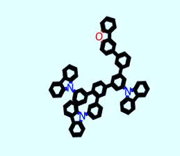 c1cc(-c2cc(-c3ccc(-c4cccc(-n5c6ccccc6c6ccccc65)c4)c(-c4cccc(-n5c6ccccc6c6ccccc65)c4)c3)cc(-n3c4ccccc4c4ccccc43)c2)cc(-c2ccc3oc4ccccc4c3c2)c1